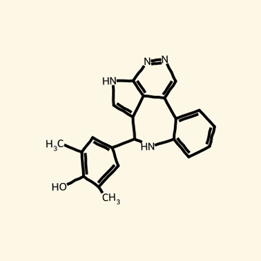 Cc1cc(C2Nc3ccccc3-c3cnnc4[nH]cc2c34)cc(C)c1O